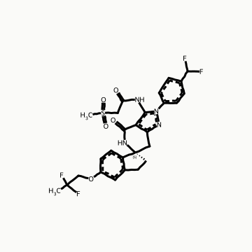 CC(F)(F)COc1ccc2c(c1)CC[C@]21Cc2nn(-c3ccc(C(F)F)cc3)c(NC(=O)CS(C)(=O)=O)c2C(=O)N1